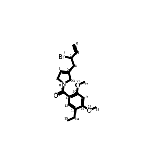 C=CC(Br)CC1=CCN(C(=O)c2cc(CC)c(OC)cc2OC)C1